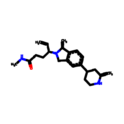 C=CC(CCC(=O)NC)N1Cc2cc(C3CCNC(=C)C3)ccc2C1=C